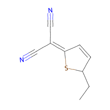 CCC1C=CC(=C(C#N)C#N)S1